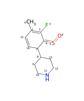 CC1=C(F)C(=S=O)C(C2CCNCC2)C=C1